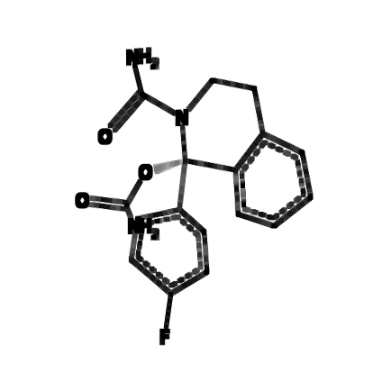 NC(=O)O[C@@]1(c2ccc(F)cc2)c2ccccc2CCN1C(N)=O